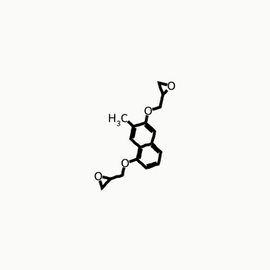 Cc1cc2c(OCC3CO3)cccc2cc1OCC1CO1